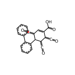 O=C=C1C(=C=O)C(c2ccccc2-c2ccccc2)C(=C=O)C=C1C(=O)O